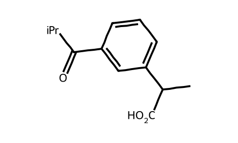 CC(C)C(=O)c1cccc(C(C)C(=O)O)c1